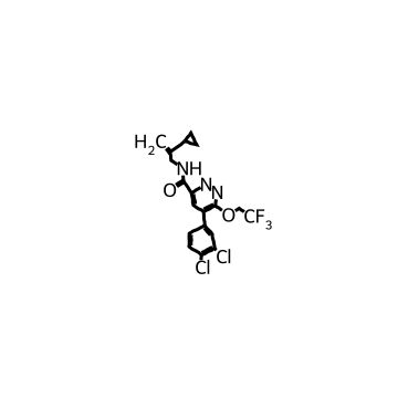 C=C(CNC(=O)c1cc(-c2ccc(Cl)c(Cl)c2)c(OCC(F)(F)F)nn1)C1CC1